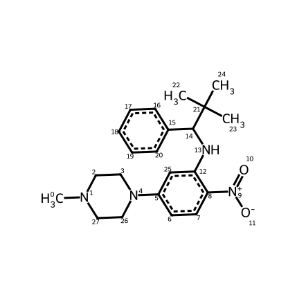 CN1CCN(c2ccc([N+](=O)[O-])c(NC(c3ccccc3)C(C)(C)C)c2)CC1